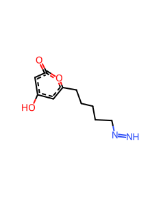 N=NCCCCCc1cc(O)cc(=O)o1